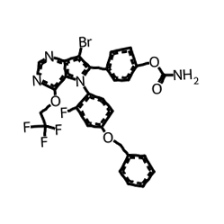 NC(=O)Oc1ccc(-c2c(Br)c3ncnc(OCC(F)(F)F)c3n2-c2ccc(OCc3ccccc3)cc2F)cc1